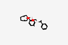 O=C(CNC(=O)c1ccccc1)NC1CC2CCC(C1)N2Cc1ccc(Cl)cc1